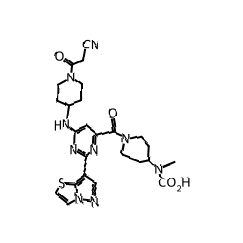 CN(C(=O)O)C1CCN(C(=O)c2cc(NC3CCN(C(=O)CC#N)CC3)nc(-c3cnn4ccsc34)n2)CC1